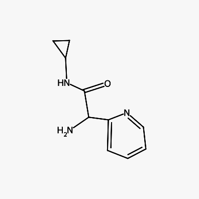 NC(C(=O)NC1CC1)c1ccccn1